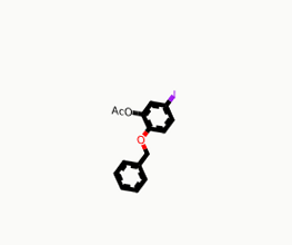 CC(=O)Oc1cc(I)ccc1OCc1ccccc1